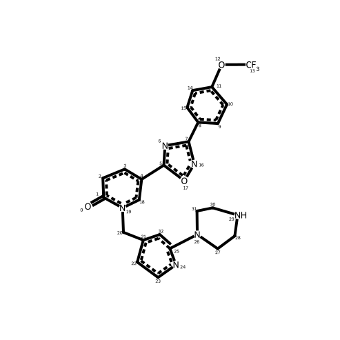 O=c1ccc(-c2nc(-c3ccc(OC(F)(F)F)cc3)no2)cn1Cc1ccnc(N2CCNCC2)c1